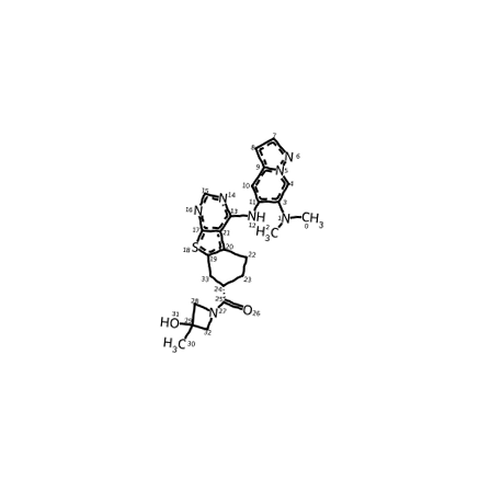 CN(C)c1cn2nccc2cc1Nc1ncnc2sc3c(c12)CC[C@H](C(=O)N1CC(C)(O)C1)C3